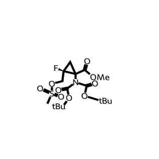 COC(=O)C1(N(C(=O)OC(C)(C)C)C(=O)OC(C)(C)C)C[C@@]1(F)COS(C)(=O)=O